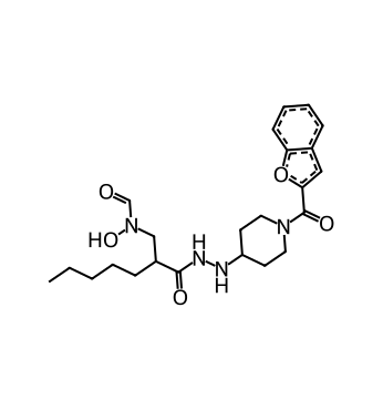 CCCCCC(CN(O)C=O)C(=O)NNC1CCN(C(=O)c2cc3ccccc3o2)CC1